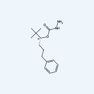 CC(C)(C)[C@@H](CCCc1ccccc1)OC(=O)NN